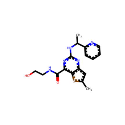 Cc1cc2nc(NC(C)c3ccccn3)nc(C(=O)NCCO)c2s1